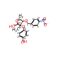 CC(OCc1ccc([N+](=O)[O-])cc1)C(C)(Oc1ccc(O)cc1)C(=O)O